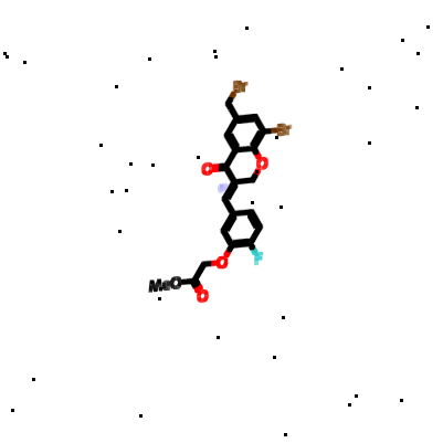 COC(=O)COc1cc(/C=C2\COc3c(Br)cc(CBr)cc3C2=O)ccc1F